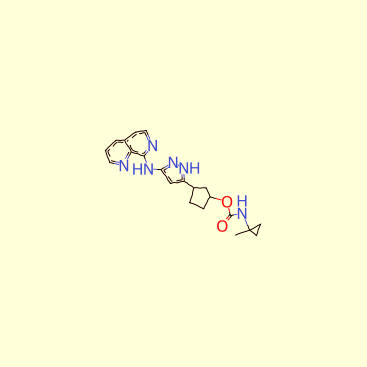 CC1(NC(=O)OC2CCC(c3cc(Nc4nccc5cccnc45)n[nH]3)C2)CC1